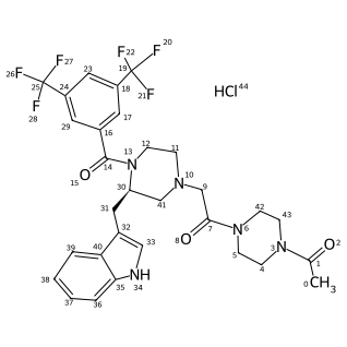 CC(=O)N1CCN(C(=O)CN2CCN(C(=O)c3cc(C(F)(F)F)cc(C(F)(F)F)c3)[C@H](Cc3c[nH]c4ccccc34)C2)CC1.Cl